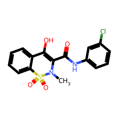 CN1C(C(=O)Nc2cccc(Cl)c2)=C(O)c2ccccc2S1(=O)=O